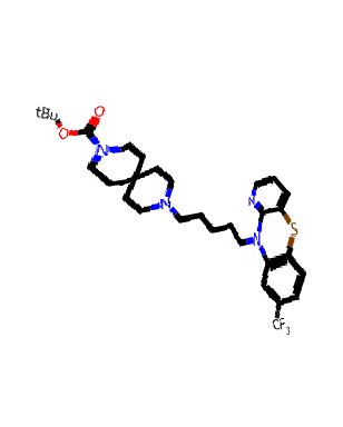 CC(C)(C)OC(=O)N1CCC2(CCN(CCCCCN3c4cc(C(F)(F)F)ccc4Sc4cccnc43)CC2)CC1